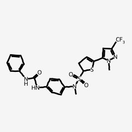 CN(c1ccc(NC(=O)Nc2ccccc2)cc1)S(=O)(=O)C1CC=C(c2cc(C(F)(F)F)nn2C)S1